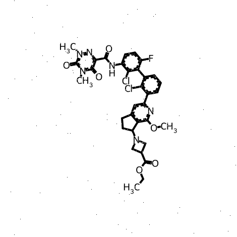 CCOC(=O)C1CN(C2CCc3cc(-c4cccc(-c5c(F)ccc(NC(=O)c6nn(C)c(=O)n(C)c6=O)c5Cl)c4Cl)nc(OC)c32)C1